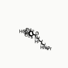 CC(C)NCCCCCNC(=O)c1ccc([Si](C)(C)O)cc1